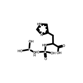 O=C(O)C(Cc1c[nH]cn1)NP(=O)(O)O.OP(O)O